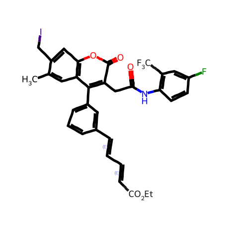 CCOC(=O)/C=C/C=C/c1cccc(-c2c(CC(=O)Nc3ccc(F)cc3C(F)(F)F)c(=O)oc3cc(CI)c(C)cc23)c1